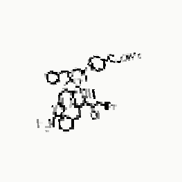 COCOC1CCN(C(=O)CN(Cc2ccccc2)C(=O)C[C@@H](Cc2csc(N)n2)C(=O)N[C@@H](CC2CCCCC2)[C@@H](O)[C@@H](O)CC(C)C)CC1